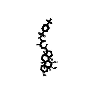 CC[C@H]1[C@@H](O)C2[C@H](CC[C@]3(C)[C@@H]([C@H](C)C[C@@H](C)C(=O)NS(=O)(=O)c4ccc(C(C)(C)C)cc4)CC[C@@H]23)C2(C)CC[C@@H](O)C[C@@H]12